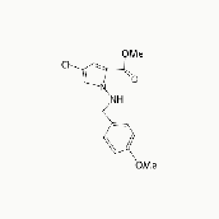 COC(=O)c1cc(Cl)cn1NCc1ccc(OC)cc1